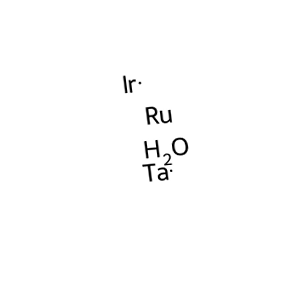 O.[Ir].[Ru].[Ta]